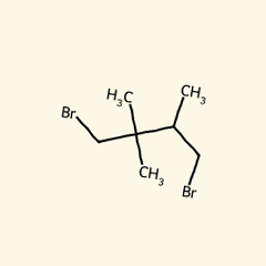 CC(CBr)C(C)(C)CBr